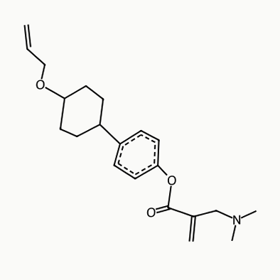 C=CCOC1CCC(c2ccc(OC(=O)C(=C)CN(C)C)cc2)CC1